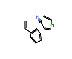 C=CC#N.C=CCl.C=Cc1ccccc1